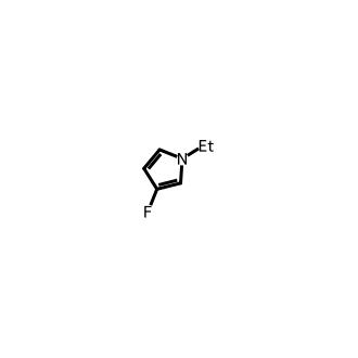 CCn1ccc(F)c1